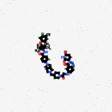 CC1(C)C(NC(=O)c2ccc(N3CC4CN(CC5CCN(C(=O)CNc6ccc7nnn(C8CCC(=O)NC8=O)c(=O)c7c6)CC5)CC4C3)cc2)C(C)(C)C1Oc1ccc(C#N)c(Cl)c1